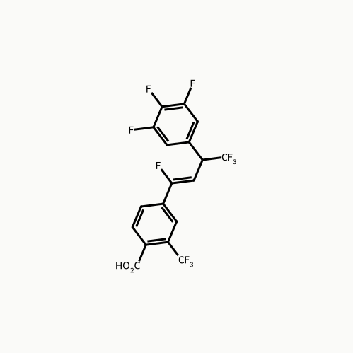 O=C(O)c1ccc(C(F)=CC(c2cc(F)c(F)c(F)c2)C(F)(F)F)cc1C(F)(F)F